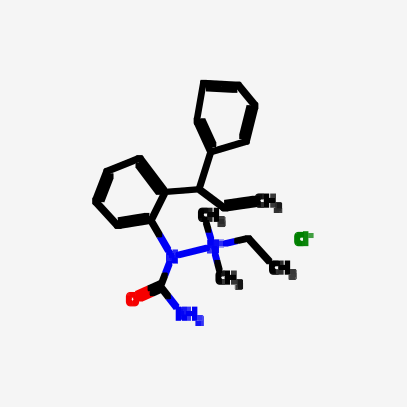 C=CC(c1ccccc1)c1ccccc1N(C(N)=O)[N+](C)(C)CC.[Cl-]